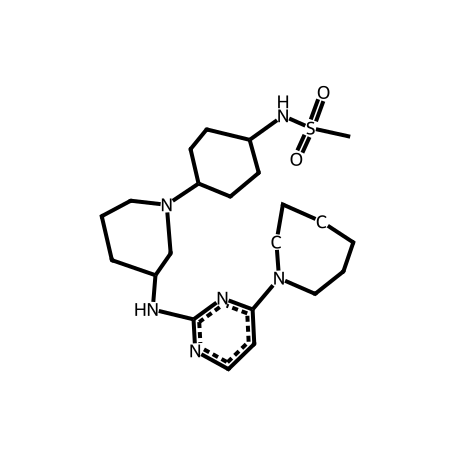 CS(=O)(=O)NC1CCC(N2CCCC(Nc3nccc(N4CCCCCC4)n3)C2)CC1